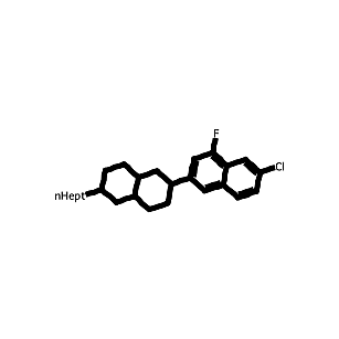 CCCCCCCC1CCC2CC(c3cc(F)c4cc(Cl)ccc4c3)CCC2C1